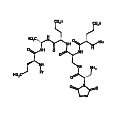 CC(C)N[C@@H](CCC(=O)O)C(=O)N[C@@H](NC(=O)[C@H](CCC(=O)O)NC(=O)[C@H](CNC(=O)[C@H](CN)N1C(=O)C=CC1=O)NC(=O)[C@H](CCC(=O)O)NC(C)(C)C)C(=O)O